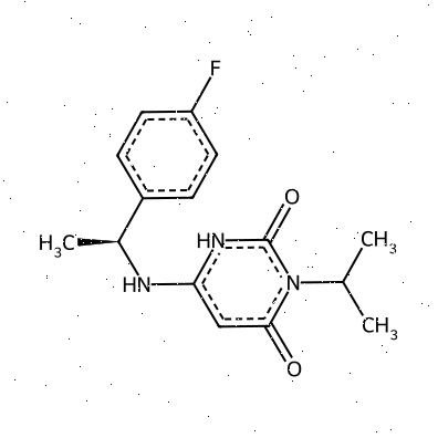 CC(C)n1c(=O)cc(N[C@@H](C)c2ccc(F)cc2)[nH]c1=O